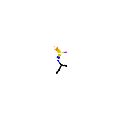 CC(C)N=S(#P)I